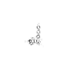 CC(C)Nc1nc(Nc2ccc(N3CCC(N4CCN(C)CC4)CC3)cc2)c(C(N)=O)nc1-c1ccnc2[nH]ccc12